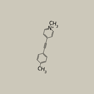 Cc1ccc(C#Cc2cc[n+](C)cc2)cc1